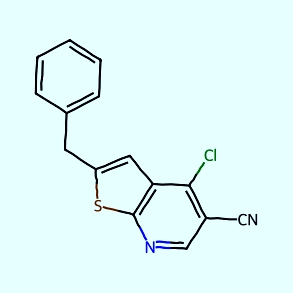 N#Cc1cnc2sc(Cc3ccccc3)cc2c1Cl